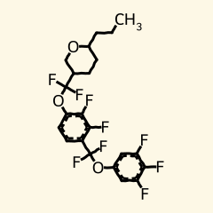 CCCC1CCC(C(F)(F)Oc2ccc(C(F)(F)Oc3cc(F)c(F)c(F)c3)c(F)c2F)CO1